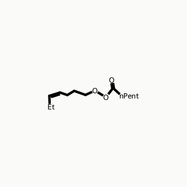 CC/C=C\CCCOOC(=O)CCCCC